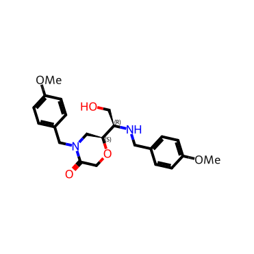 COc1ccc(CN[C@H](CO)[C@@H]2CN(Cc3ccc(OC)cc3)C(=O)CO2)cc1